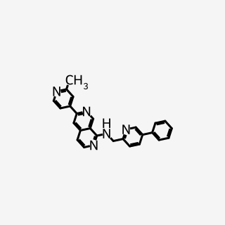 Cc1cc(-c2cc3ccnc(NCc4ccc(-c5ccccc5)cn4)c3cn2)ccn1